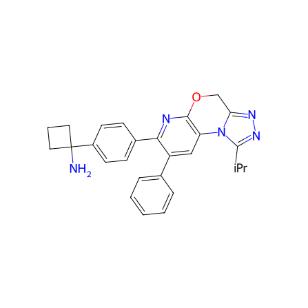 CC(C)c1nnc2n1-c1cc(-c3ccccc3)c(-c3ccc(C4(N)CCC4)cc3)nc1OC2